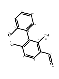 O=Cc1ccc(Cl)c(-c2ccccc2Cl)c1O